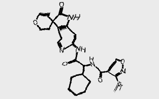 CC(C)c1nocc1C(=O)NC(C(=O)Nc1cc2c(cn1)C1(CCOCC1)C(=O)N2)C1CCCCC1